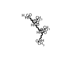 CC(=O)NCCCCC(NC(=O)CCCC(=O)NC(CCCCNC(C)=O)C(=O)NC(C)=O)C(=O)NC(C)=O